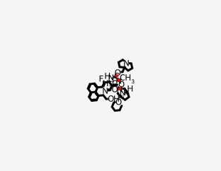 CC(C)(C)OC(=O)N1[C@@H]2CC[C@H]1CN(c1nc(OCC34CCCN3CCC4)nc3c(F)c(-c4cccc5cccc(CCOC6CCCCO6)c45)ncc13)C2